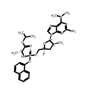 CC(C)OC(=O)[C@@H](C)NP(=S)(OC[C@]1(F)C[C@H](C)[C@H](n2cnc3c(N(C)C)nc(N)nc32)O1)Oc1cccc2ccccc12